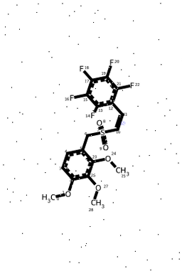 COc1ccc(CS(=O)(=O)/C=C\c2c(F)c(F)c(F)c(F)c2F)c(OC)c1OC